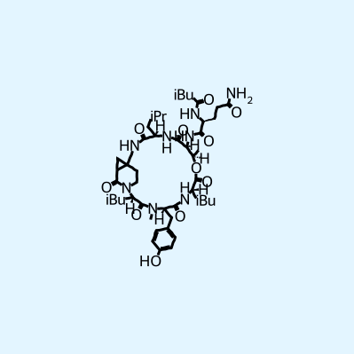 CCC(C)C(=O)N[C@@H](CCC(N)=O)C(=O)N[C@@H]1C(=O)N[C@@H](CC(C)C)C(=O)NC23CCN(C(=O)C2C3)[C@@H](C(C)CC)C(=O)N(C)[C@@H](Cc2ccc(O)cc2)C(=O)N[C@@H](C(C)CC)C(=O)O[C@@H]1C